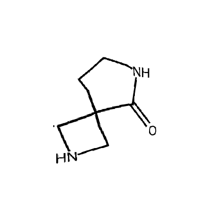 O=C1NCCC12[CH]NC2